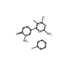 Cc1c(Cl)nc(N)nc1-c1ccc(=O)n(N)c1.Fc1ccccc1